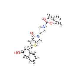 CC(C)(C)OC(=O)N1CC(N2Cc3sc(-c4cc(O)cc5ccccc45)cc3C2=O)C1